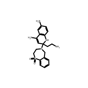 NCCC1(N2CCS(=O)(=O)c3ccccc3C2)C=C(N)c2cc(N)ccc2N1